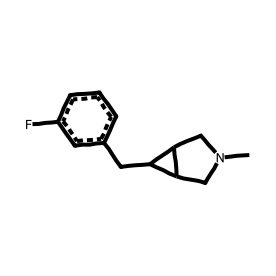 CN1CC2C(Cc3cccc(F)c3)C2C1